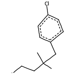 [CH2]CCC(C)(C)Cc1ccc(Cl)cc1